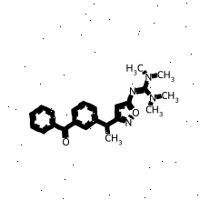 CC(c1cccc(C(=O)c2ccccc2)c1)c1cc(N=C(N(C)C)N(C)C)on1